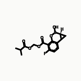 CC(C)C(=O)OCOC(=O)c1c(F)ccc2c1OB(O)[C@H]1CC21